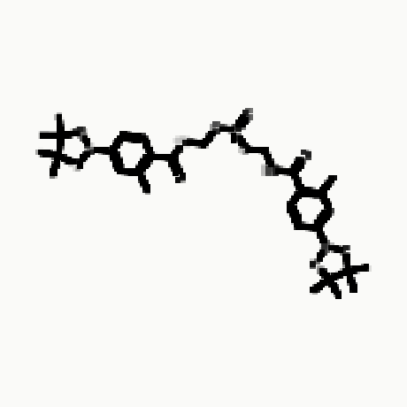 Cc1cc(B2OC(C)(C)C(C)(C)O2)ccc1C(=O)NCO[PH](=O)OCNC(=O)c1ccc(B2OC(C)(C)C(C)(C)O2)cc1C